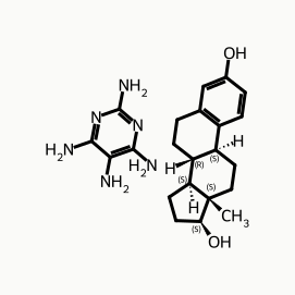 C[C@]12CC[C@@H]3c4ccc(O)cc4CC[C@H]3[C@@H]1CC[C@@H]2O.Nc1nc(N)c(N)c(N)n1